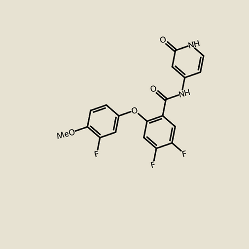 COc1ccc(Oc2cc(F)c(F)cc2C(=O)Nc2cc[nH]c(=O)c2)cc1F